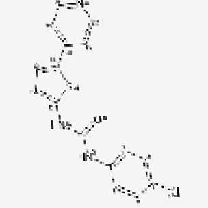 O=C(Nc1ccc(Cl)cc1)Nc1ccc(-c2ccncc2)s1